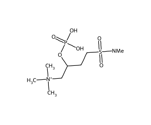 CNS(=O)(=O)CCC(C[N+](C)(C)C)OP(=O)(O)O